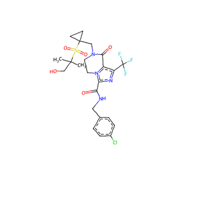 CC(C)(CO)S(=O)(=O)C1(CN2CCn3c(C(=O)NCc4ccc(Cl)cc4)nc(C(F)(F)F)c3C2=O)CC1